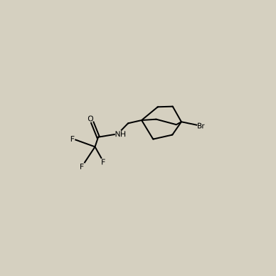 O=C(NCC12CCC(Br)(CC1)CC2)C(F)(F)F